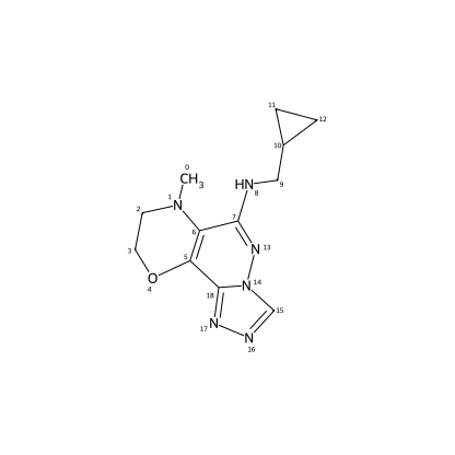 CN1CCOc2c1c(NCC1CC1)nn1cnnc21